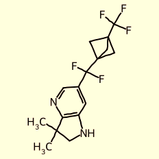 CC1(C)CNc2cc(C(F)(F)C34CC(C(F)(F)F)(C3)C4)cnc21